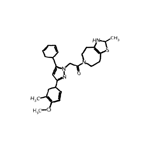 COC1=C(C)CC(c2cc(C3C=CC=CC3)n(CC(=O)N3CCC4=C(CC3)SC(C)N4)n2)C=C1